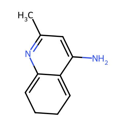 Cc1cc(N)c2c(n1)=CCCC=2